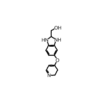 OCC1Nc2ccc(OC3=CC=NCC3)cc2N1